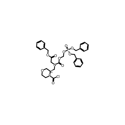 O=C(CN(C[C@@H]1COCCN1C(=O)Cl)C(=O)OCOP(=O)(OCc1ccccc1)OCc1ccccc1)OCc1ccccc1